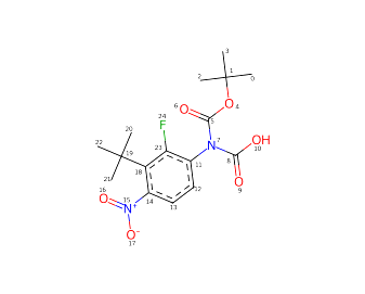 CC(C)(C)OC(=O)N(C(=O)O)c1ccc([N+](=O)[O-])c(C(C)(C)C)c1F